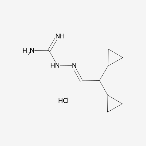 Cl.N=C(N)NN=CC(C1CC1)C1CC1